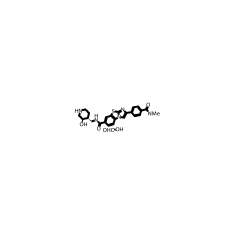 CNC(=O)c1ccc(-c2cn3c(n2)sc2cc(C(=O)NC[C@H]4CCNC[C@@H]4O)ccc23)cc1.O=CO